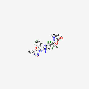 Cc1nonc1C(=O)N[C@H](c1nc2c(F)c(C(F)(C(=O)N[C@@H](C(=O)O)C(C)C)C(F)CF)ccc2[nH]1)C1CCC(F)(F)CC1